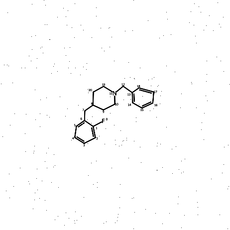 Fc1ccccc1CC1CCN(Cc2ccccc2)CC1